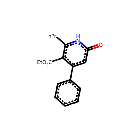 CCCc1[nH]c(=O)cc(-c2ccccc2)c1C(=O)OCC